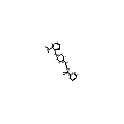 CN(C)c1ccccc1CN1CCC(C=NNC(=O)c2ccccn2)CC1